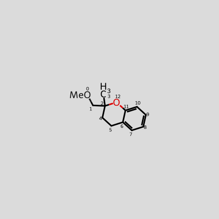 COCC1(C)CCc2ccccc2O1